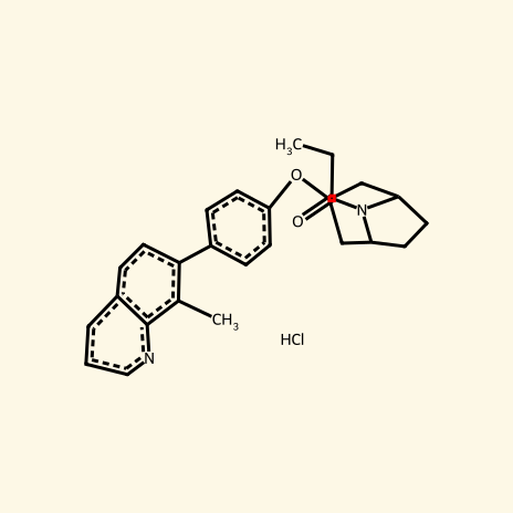 CCC(=O)N1C2CCC1CC(Oc1ccc(-c3ccc4cccnc4c3C)cc1)C2.Cl